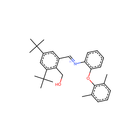 Cc1cccc(C)c1Oc1ccccc1/N=C/c1cc(C(C)(C)C)cc(C(C)(C)C)c1CO